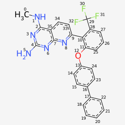 CNc1nc(N)nc2nc(-c3c(Oc4ccc(-c5ccccc5)cc4)cccc3C(F)(F)F)ccc12